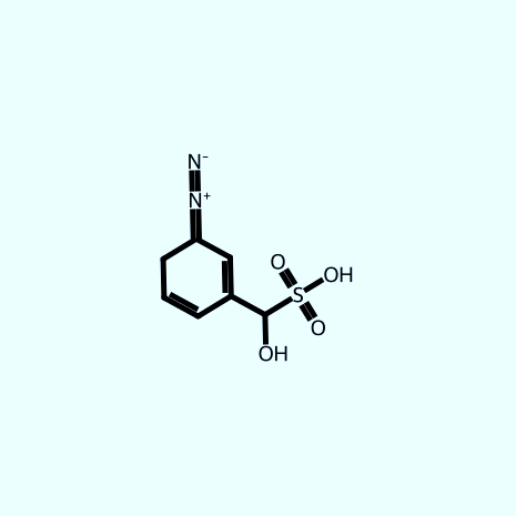 [N-]=[N+]=C1C=C(C(O)S(=O)(=O)O)C=CC1